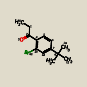 CCC(=O)c1ccc(C(C)(C)C)cc1Br